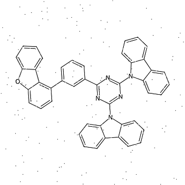 c1cc(-c2nc(-n3c4ccccc4c4ccccc43)nc(-n3c4ccccc4c4ccccc43)n2)cc(-c2cccc3oc4ccccc4c23)c1